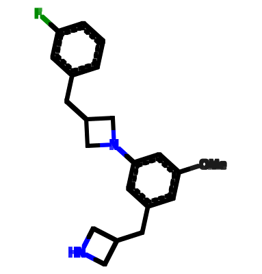 COc1cc(CC2CNC2)cc(N2CC(Cc3cccc(F)c3)C2)c1